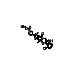 Cn1c(C2CCN(C(=O)OC(C)(C)C)C2)nc2c1c(=O)n(Cc1cc3c(Cl)cccc3[nH]1)c(=O)n2C